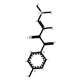 C=C(C(=O)/C(C)=C/N(C)C)c1ccc(C)cc1